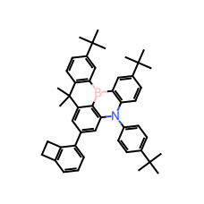 CC(C)(C)c1ccc(N2c3ccc(C(C)(C)C)cc3B3c4cc(C(C)(C)C)ccc4C(C)(C)c4cc(-c5cccc6c5CC6)cc2c43)cc1